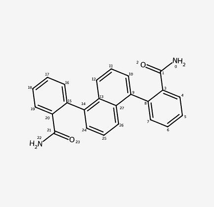 NC(=O)c1ccccc1-c1cccc2c(-c3ccccc3C(N)=O)cccc12